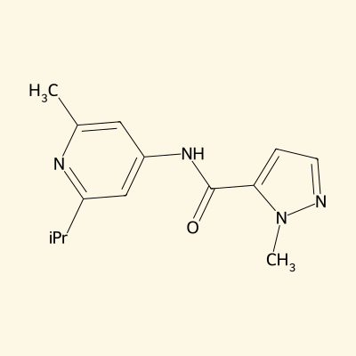 Cc1cc(NC(=O)c2ccnn2C)cc(C(C)C)n1